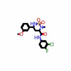 COc1cccc(C2CC(C(=O)Nc3ccc(F)c(Cl)c3)N(C)S(=O)(=O)N2)c1